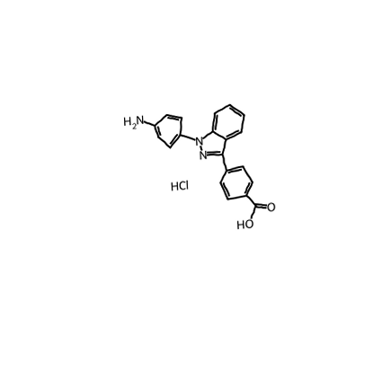 Cl.Nc1ccc(-n2nc(-c3ccc(C(=O)O)cc3)c3ccccc32)cc1